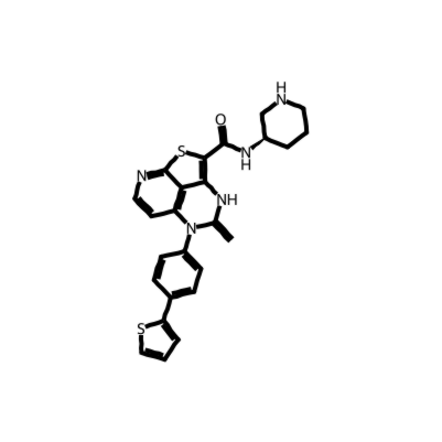 C=c1[nH]c2c(C(=O)N[C@@H]3CCCNC3)sc3nccc(c32)n1-c1ccc(-c2cccs2)cc1